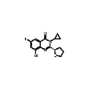 O=c1c2cc(F)cc(Br)c2nc([C@H]2CCCO2)n1C1CC1